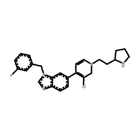 Fc1cccc(Cn2cnc3ccc(C4=C(Cl)CN(CCC5CCCN5)C=C4)cc32)c1